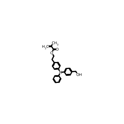 C=C(C)C(=O)OCCc1ccc(N(c2ccccc2)c2ccc(CO)cc2)cc1